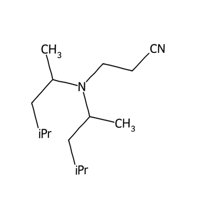 CC(C)CC(C)N(CCC#N)C(C)CC(C)C